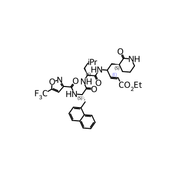 CCOC(=O)/C=C/C(C[C@@H]1CCCNC1=O)NC(=O)[C@H](CC(C)C)NC(=O)[C@H](Cc1cccc2ccccc12)NC(=O)c1cc(C(F)(F)F)on1